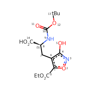 CCOC(=O)c1onc(O)c1C[C@H](NC(=O)OC(C)(C)C)C(=O)O